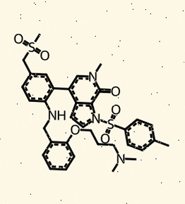 Cc1ccc(S(=O)(=O)n2ccc3c(-c4cc(CS(C)(=O)=O)ccc4NCc4ccccc4OCCCN(C)C)cn(C)c(=O)c32)cc1